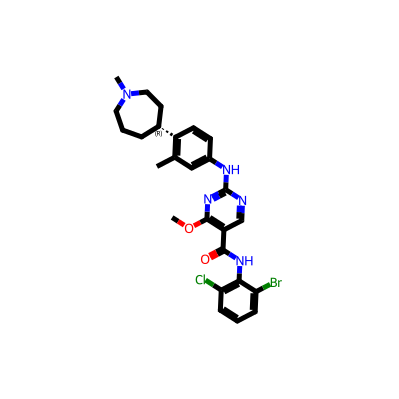 COc1nc(Nc2ccc([C@@H]3CCCN(C)CC3)c(C)c2)ncc1C(=O)Nc1c(Cl)cccc1Br